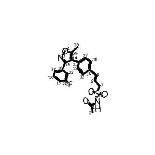 CC(=O)NS(=O)(=O)CC=Cc1ccc(-c2c(-c3cccc(F)c3)noc2C)cc1